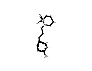 CC(C)(C)c1ccc(CCCN2CCCCS2(=O)=O)cn1